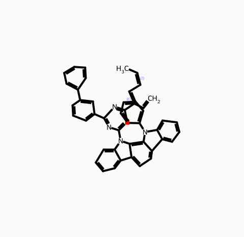 C=C/C(=C\C=C/C)c1nc(-c2cccc(-c3ccccc3)c2)nc(-n2c3ccccc3c3ccc4c5ccccc5n(-c5ccccc5)c4c32)n1